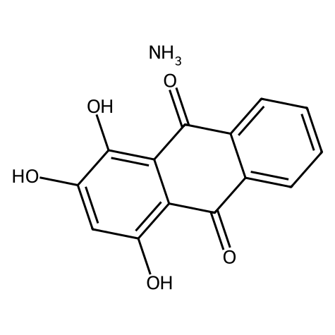 N.O=C1c2ccccc2C(=O)c2c(O)c(O)cc(O)c21